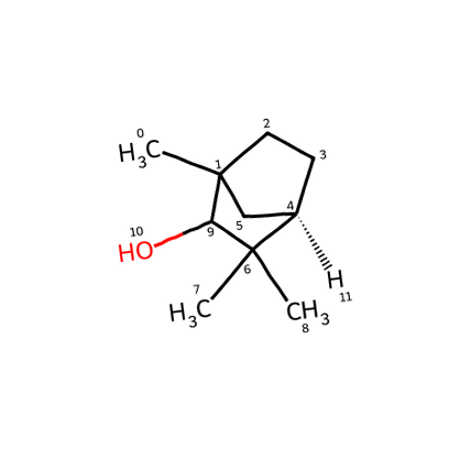 CC12CC[C@H](C1)C(C)(C)C2O